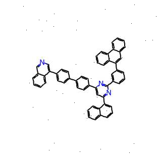 c1cc(-c2nc(-c3ccc(-c4ccc(-c5cncc6ccccc56)cc4)cc3)cc(-c3cccc4ccccc34)n2)cc(-c2cc3ccccc3c3ccccc23)c1